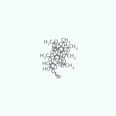 [2H]C([2H])(OC(C)=O)[C@H]1O[C@H](O[C@@H]2[C@H](OC(C)=O)[C@@H](OC(C)=O)[C@H](O[C@H]3[C@H](O)[C@@H](O)[C@H](OCCBr)O[C@@H]3CO)O[C@@H]2C([2H])([2H])OC(C)=O)[C@H](OC(C)=O)[C@@H](OC(C)=O)[C@H]1OC(C)=O